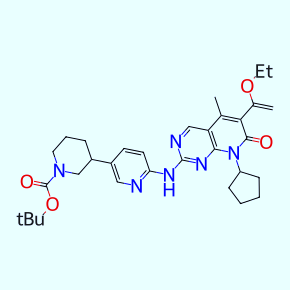 C=C(OCC)c1c(C)c2cnc(Nc3ccc(C4CCCN(C(=O)OC(C)(C)C)C4)cn3)nc2n(C2CCCC2)c1=O